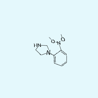 CON(OC)c1ccccc1N1CCNC1